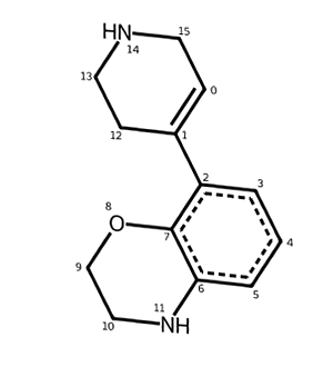 C1=C(c2cccc3c2OCCN3)CCNC1